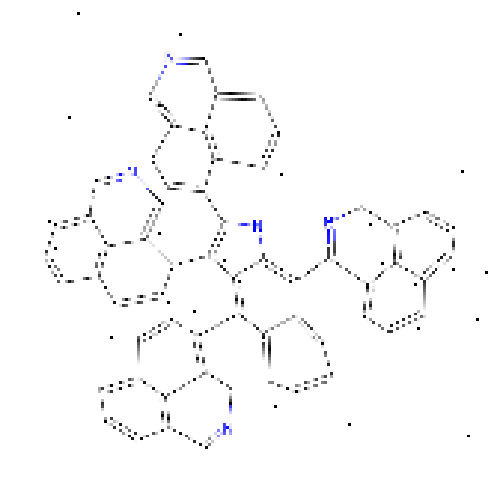 C1=CC(C2=C(C3=CCc4cncc5cccc3c45)[N]c3c2c(-c2ccc4cccc5c4c2CN=C5)c2ccccc2c3C2=NCc3cccc4cccc2c34)c2cncc3cccc1c23